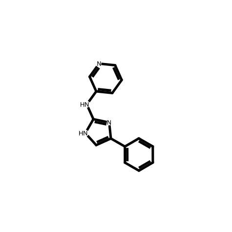 c1ccc(-c2c[nH]c(Nc3cccnc3)n2)cc1